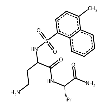 Cc1ccc(S(=O)(=O)NC(CCN)C(=O)N[C@H](C(N)=O)C(C)C)c2ccccc12